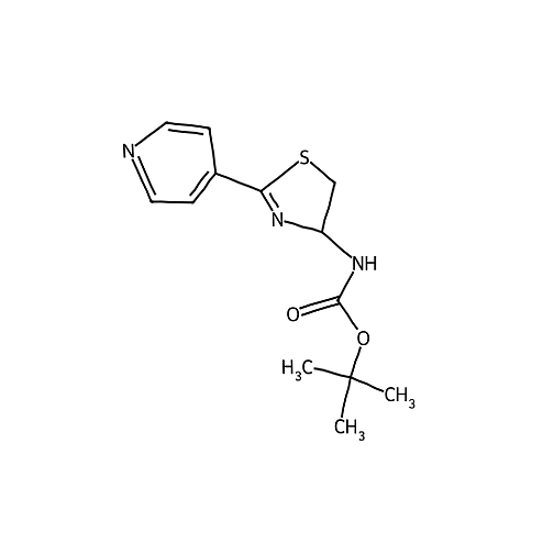 CC(C)(C)OC(=O)NC1CSC(c2ccncc2)=N1